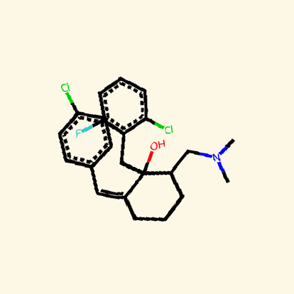 CN(C)CC1CCC/C(=C/c2ccc(Cl)cc2)C1(O)Cc1c(F)cccc1Cl